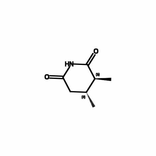 C[C@@H]1CC(=O)NC(=O)[C@H]1C